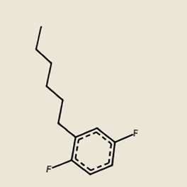 CCCCCCc1cc(F)ccc1F